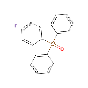 O=[S+](c1ccccc1)(c1ccccc1)c1ccccc1.[I-]